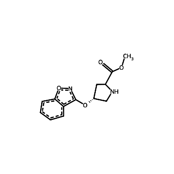 COC(=O)C1C[C@@H](Oc2noc3ccccc23)CN1